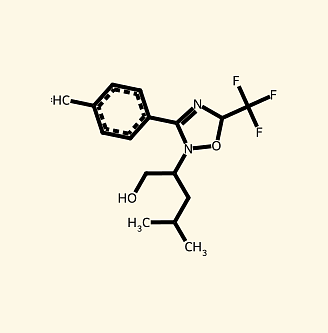 [CH]c1ccc(C2=NC(C(F)(F)F)ON2C(CO)CC(C)C)cc1